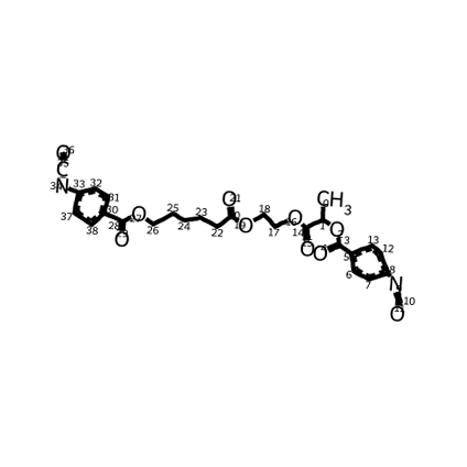 CC(OC(=O)c1ccc(N=C=O)cc1)C(=O)OCCOC(=O)CCCCCOC(=O)c1ccc(N=C=O)cc1